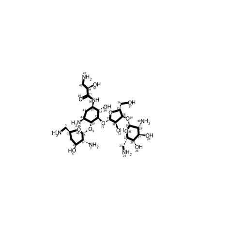 NC[C@@H]1C[C@@H](O)[C@@H](N)[C@@H](O[C@H]2[C@H](O[C@@H]3O[C@H](CO)[C@@H](O[C@H]4O[C@@H](CN)[C@@H](O)[C@H](O)[C@H]4N)[C@H]3O)[C@@H](O)[C@H](NC(=O)[C@H](O)CN)C[C@@H]2N)O1